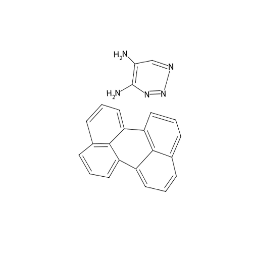 Nc1cnnnc1N.c1cc2cccc3c4cccc5cccc(c(c1)c23)c54